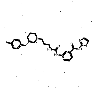 O=C(NCCCN1CCC[C@@H](Cc2ccc(F)cc2)C1)Nc1cccc(C(=O)Nc2nccs2)c1